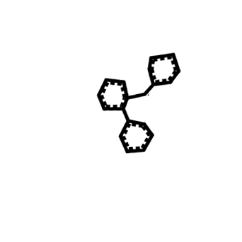 [C](c1ccccc1)c1ccccc1-c1ccccc1